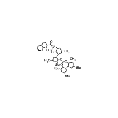 Cc1cc(-c2cc(C)cc(C(C)(C)C)c2Op2oc3c(C)cc(C(C)(C)C)cc3c3cc(C(C)(C)C)cc(C(C)(C)C)c3o2)c(OP2OC(=O)c3ccc4ccccc4c3O2)c(C(C)(C)C)c1